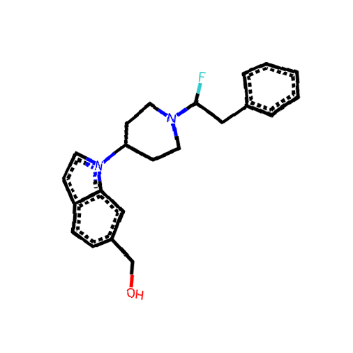 OCc1ccc2ccn(C3CCN(C(F)Cc4ccccc4)CC3)c2c1